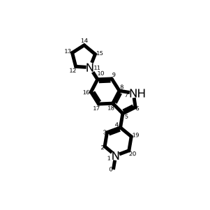 CN1CC=C(c2c[nH]c3cc(N4CCCC4)ccc23)CC1